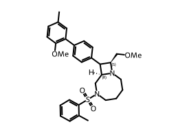 COC[C@@H]1C(c2ccc(-c3cc(C)ccc3OC)cc2)[C@@H]2CN(S(=O)(=O)c3ccccc3C)CCCCN12